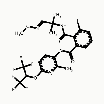 CON=CC(C)(C)NC(=O)c1c(I)cccc1C(=O)Nc1ccc(OC(C(F)(F)F)C(F)(F)F)nc1C